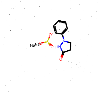 O=C1CCN(c2ccccc2)N1.O=S([O-])[O-].[Na+].[Na+]